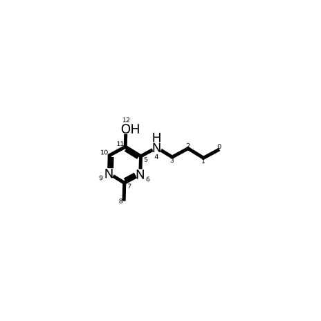 CCCCNc1nc(C)ncc1O